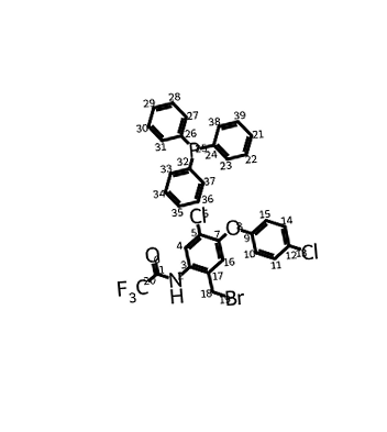 O=C(Nc1cc(Cl)c(Oc2ccc(Cl)cc2)cc1CBr)C(F)(F)F.c1ccc(P(c2ccccc2)c2ccccc2)cc1